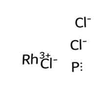 [Cl-].[Cl-].[Cl-].[P].[Rh+3]